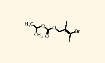 CC(C)OC(=O)OCC(I)=C(Br)I